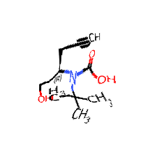 C#CC[C@H](CO)N(C(=O)O)C(C)(C)C